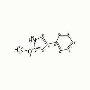 COc1cc(-c2ccccc2)c[nH]1